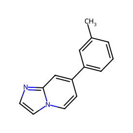 Cc1cccc(-c2ccn3ccnc3c2)c1